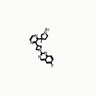 CC(=O)N1CC[C@](C)(c2nccnc2C2CN(c3ncc4cc(F)ccc4n3)C2)C1